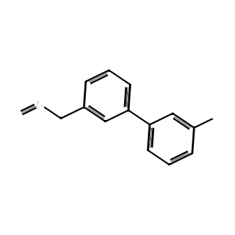 O=NCc1cccc(-c2cccc(Cl)c2)c1